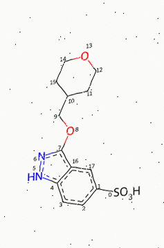 O=S(=O)(O)c1ccc2[nH]nc(OCC3CCOCC3)c2c1